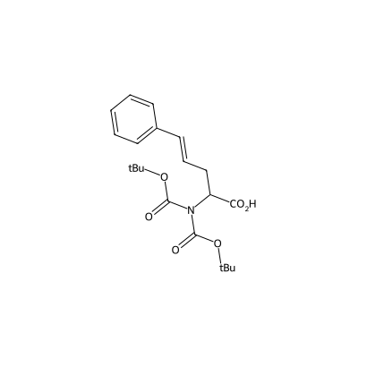 CC(C)(C)OC(=O)N(C(=O)OC(C)(C)C)C(CC=Cc1ccccc1)C(=O)O